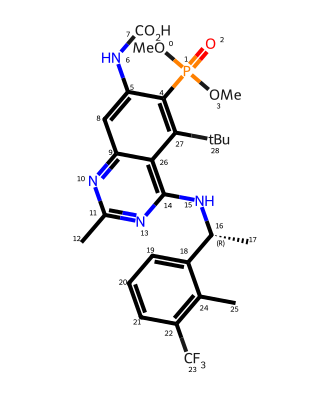 COP(=O)(OC)c1c(NC(=O)O)cc2nc(C)nc(N[C@H](C)c3cccc(C(F)(F)F)c3C)c2c1C(C)(C)C